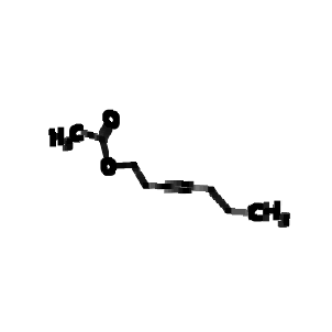 CCCC#CCCOC(C)=O